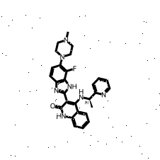 C[C@@H](Nc1c(-c2nc3ccc(N4CCN(C)CC4)c(F)c3[nH]2)c(=O)[nH]c2ccccc12)c1ccccn1